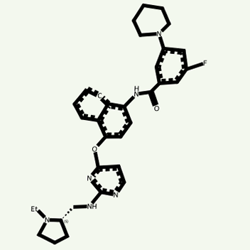 CCN1CCC[C@H]1CNc1nccc(Oc2ccc(NC(=O)c3cc(F)cc(N4CCCCC4)c3)c3ccccc23)n1